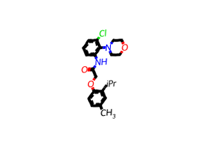 Cc1ccc(OCC(=O)Nc2cccc(Cl)c2N2CCOCC2)c(C(C)C)c1